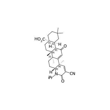 CC(C)N1C(=O)C(C#N)=C[C@]2(C)C3=CC(=O)[C@@H]4[C@@H]5CC(C)(C)CC[C@]5(C(=O)O)CC[C@@]4(C)[C@]3(C)CC[C@@H]12